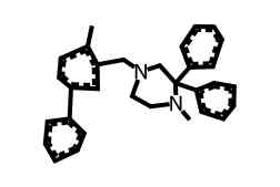 Cc1ccc(-c2ccccc2)cc1CN1CCN(C)C(c2ccccc2)(c2ccccc2)C1